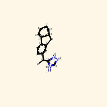 CC(c1ccc2c(c1)Cc1ccccc1-2)c1nnc[nH]1